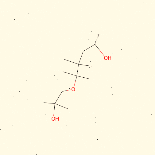 C[C@H](O)CC(C)(C)C(C)(C)OCC(C)(C)O